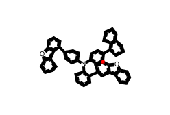 c1ccc(N(c2ccc(-c3cccc4ccccc34)cc2)c2ccc(-c3cccc4oc5ccccc5c34)cc2)c(-c2ccc3oc4ccccc4c3c2)c1